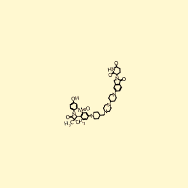 COc1cc(N2CCC(CN3CCN(C4CCN(c5ccc6c(c5)CN(C5CCC(=O)NC5=O)C6=O)CC4)CC3)CC2)ccc1[C@@H]1N(c2ccc(O)cc2)C(=O)C1(C)C